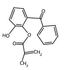 C=C(C)C(=O)Oc1c(O)cccc1C(=O)c1ccccc1